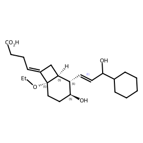 CCO[C@@]12CC[C@H](O)[C@@H](/C=C/C(O)C3CCCCC3)[C@@H]1CC2=CCCC(=O)O